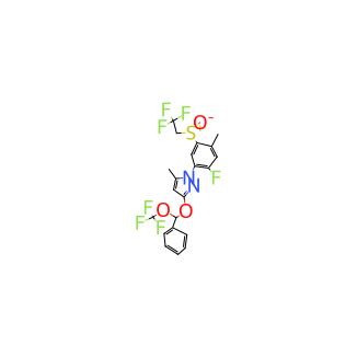 Cc1cc(F)c(-n2nc(OC(OC(F)(F)F)c3ccccc3)cc2C)cc1[S+]([O-])CC(F)(F)F